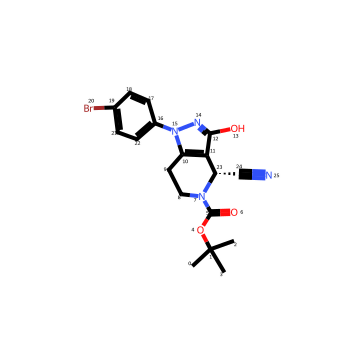 CC(C)(C)OC(=O)N1CCc2c(c(O)nn2-c2ccc(Br)cc2)[C@@H]1C#N